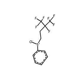 [O-][S+](CCC(F)(C(F)(F)F)C(F)(F)F)c1ccccc1